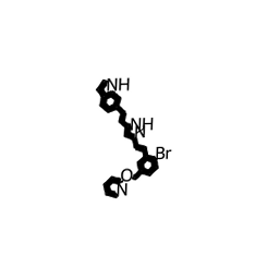 Brc1ccc(COc2ccccn2)cc1/C=C/c1cc(/C=C/c2ccc3cc[nH]c3c2)[nH]n1